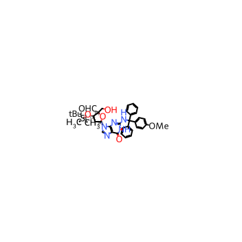 COc1ccc(C(Nc2nc3c(ncn3[C@H]3C[C@H](O[Si](C)(C)C(C)(C)C)[C@@](C=O)(CO)O3)c(=O)[nH]2)(c2ccccc2)c2ccccc2)cc1